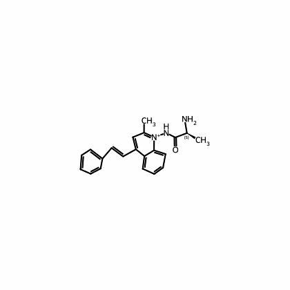 Cc1cc(C=Cc2ccccc2)c2ccccc2[n+]1NC(=O)[C@H](C)N